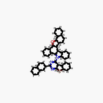 c1ccc2cc(-c3nc(-n4c5ccccc5c5c6c7ccc8ccccc8c7oc6c6ccccc6c54)c4c(n3)sc3ccccc34)ccc2c1